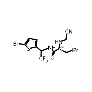 CC(C)C[C@H](NCC#N)C(=O)NC(c1ccc(Br)s1)C(F)(F)F